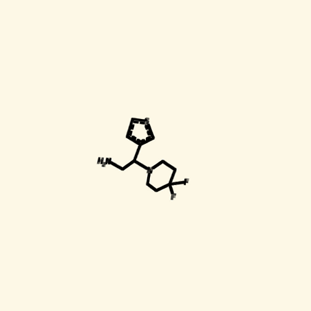 NCC(c1ccsc1)N1CCC(F)(F)CC1